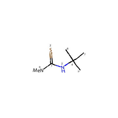 CNC(=S)NC(C)(C)C